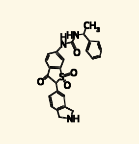 CC(NC(=O)Nc1ccc2c(c1)S(=O)(=O)C(c1ccc3c(c1)CNC3)C2=O)c1ccccc1